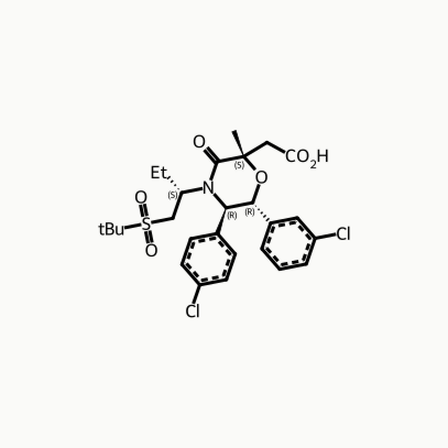 CC[C@@H](CS(=O)(=O)C(C)(C)C)N1C(=O)[C@](C)(CC(=O)O)O[C@H](c2cccc(Cl)c2)[C@H]1c1ccc(Cl)cc1